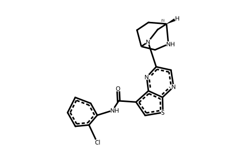 O=C(Nc1ccccc1Cl)c1csc2ncc(N3C[C@@H]4CCC3CN4)nc12